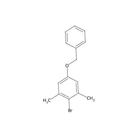 Cc1cc(OCc2ccccc2)cc(C)c1Br